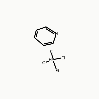 CC[PH](Cl)(Cl)Cl.c1ccncc1